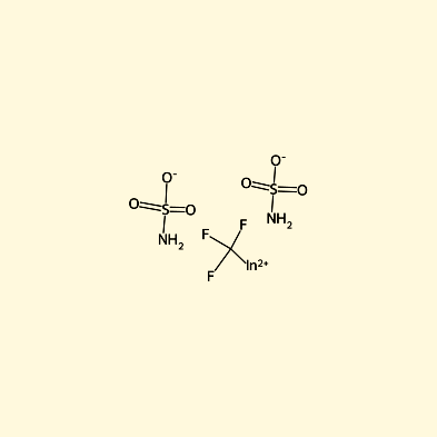 F[C](F)(F)[In+2].NS(=O)(=O)[O-].NS(=O)(=O)[O-]